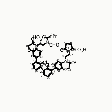 CCCC(C(=O)O)N(C=O)CCN1C(=O)COc2cc(-c3cccc(-c4cccc(-c5ccc6c(c5)OCC(=O)N6CCN5C(=O)CCC5C(=O)O)c4Cl)c3Cl)ccc21